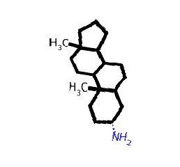 CC12CCCC1C1CCC3C[C@H](N)CCC3(C)C1CC2